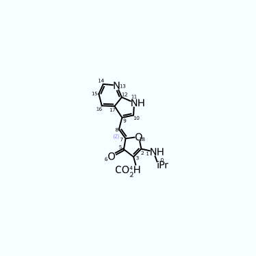 CC(C)NC1=C(C(=O)O)C(=O)/C(=C/c2c[nH]c3ncccc23)O1